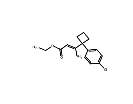 CCOC(=O)C=C(N)C1(c2ccc(Cl)cc2)CCC1